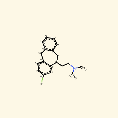 CN(C)CCC1Cc2ccccc2Cc2ccc(F)cc21